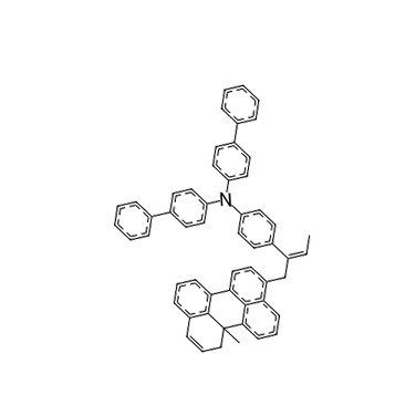 C/C=C(/Cc1ccc2c3c(cccc13)C1(C)CC=Cc3cccc-2c31)c1ccc(N(c2ccc(-c3ccccc3)cc2)c2ccc(-c3ccccc3)cc2)cc1